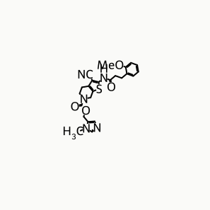 COc1ccccc1CCC(=O)Nc1sc2c(c1C#N)CCN(C(=O)OCc1cncn1C)C2